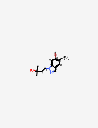 CC(C)(O)CCn1ncc2cc([N+](=O)[O-])c(Br)cc21